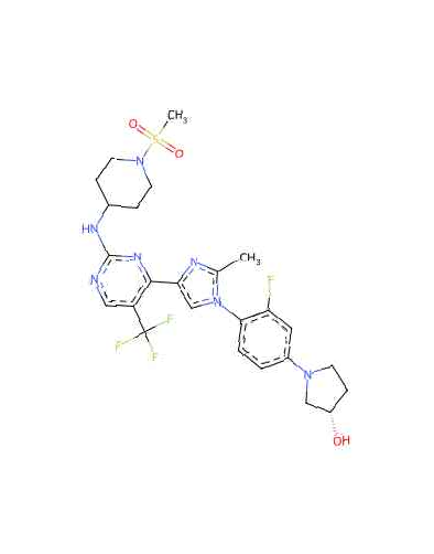 Cc1nc(-c2nc(NC3CCN(S(C)(=O)=O)CC3)ncc2C(F)(F)F)cn1-c1ccc(N2CC[C@H](O)C2)cc1F